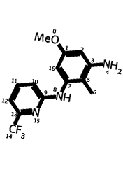 COc1cc(N)c(C)c(Nc2cccc(C(F)(F)F)n2)c1